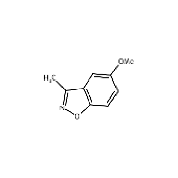 COc1ccc2onc(C)c2c1